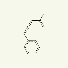 C=C(C)C=C=Cc1ccccc1